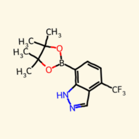 CC1(C)OB(c2ccc(C(F)(F)F)c3cn[nH]c23)OC1(C)C